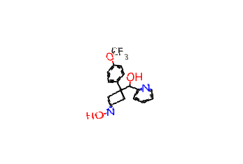 ON=C1CC(c2ccc(OC(F)(F)F)cc2)(C(O)c2ccccn2)C1